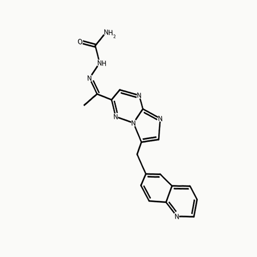 C/C(=N/NC(N)=O)c1cnc2ncc(Cc3ccc4ncccc4c3)n2n1